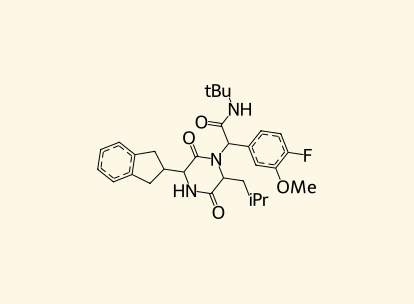 COc1cc(C(C(=O)NC(C)(C)C)N2C(=O)C(C3Cc4ccccc4C3)NC(=O)C2CC(C)C)ccc1F